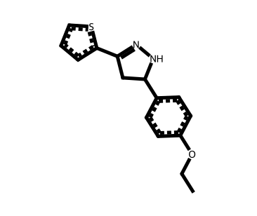 CCOc1ccc(C2CC(c3cccs3)=NN2)cc1